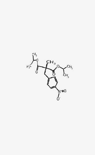 CC(C)OC(=O)C(C)(Cc1ccc([N+](=O)[O-])cc1)C(=O)OC(C)C